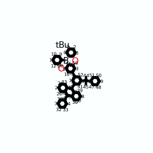 CC(C)(C)c1ccc2c(c1)B1c3ccccc3Oc3cc(-c4cc(-c5c6ccccc6c(-c6ccccc6)c6ccccc56)cc(C(C)(C)c5ccccc5)c4)cc(c31)O2